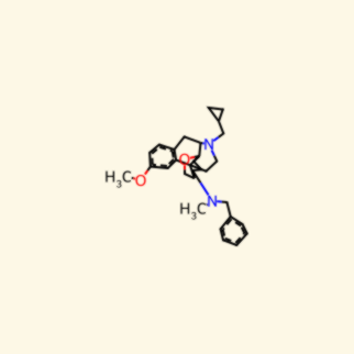 COc1ccc2c(c1)C13CCN(CC4CC4)C(C2)C12CCC(N(C)Cc1ccccc1)C3CO2